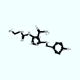 CC(C)CNC(=O)Nc1snc(SCc2ccc(Cl)cc2)c1C(N)=O